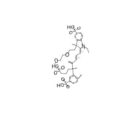 C=C(/C=C/C=C1/N(CC)c2ccc(S(=O)(=O)O)cc2C1(C)CCOCCOC)C(C)(CCCS(=O)(=O)O)c1cc(S(=O)(=O)O)ccc1C